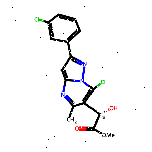 COC(=O)[C@@H](O)c1c(C)nc2cc(-c3cccc(Cl)c3)nn2c1Cl